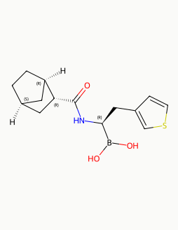 O=C(N[C@@H](Cc1ccsc1)B(O)O)[C@@H]1C[C@H]2CC[C@@H]1C2